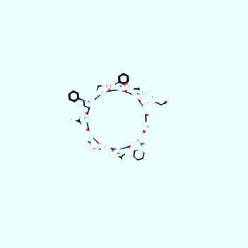 CC(C)C[C@@H]1NC(=O)[C@H](Cc2ccccc2)N(C)C(=O)[C@H](CC(C)C)N(C)C(=O)[C@H](COCCC(C)(C)O)NC(=O)[C@H](C)N(C)C(=O)C[C@@H](C(=O)N2CCCCC2)NC(=O)[C@H](CC(C)C)N(C)C(=O)CN(C)C(=O)[C@H](C(C)O)NC(=O)[C@H](CC(C)C)N(C)C(=O)C(CCc2ccccc2)N(C)C1=O